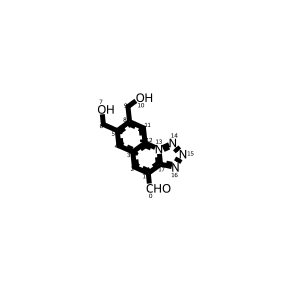 O=Cc1cc2cc(CO)c(CO)cc2n2nnnc12